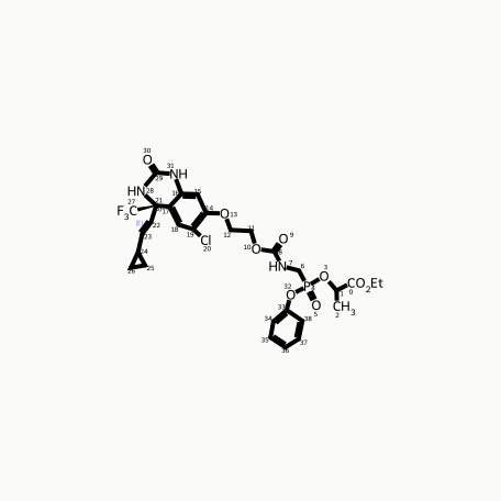 CCOC(=O)C(C)OP(=O)(CNC(=O)OCCOc1cc2c(cc1Cl)[C@@](/C=C/C1CC1)(C(F)(F)F)NC(=O)N2)Oc1ccccc1